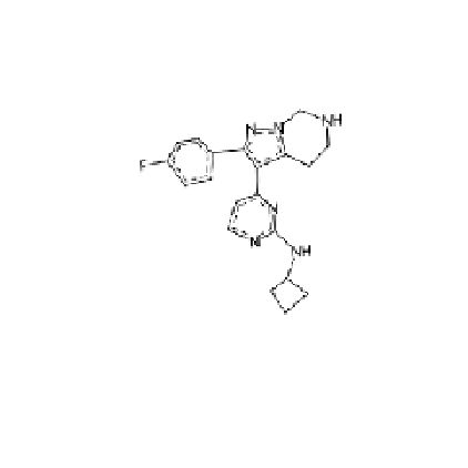 Fc1ccc(-c2nn3c(c2-c2ccnc(NC4CCC4)n2)CCNC3)cc1